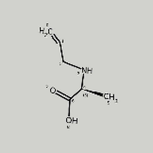 C=CCN[C@@H](C)C(=O)O